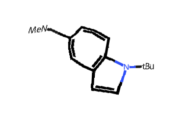 CNc1ccc2c(ccn2C(C)(C)C)c1